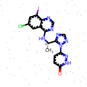 C[C@H](Nc1ncnc2c(I)cc(Cl)cc12)c1ncnn1-c1ccc(=O)[nH]n1